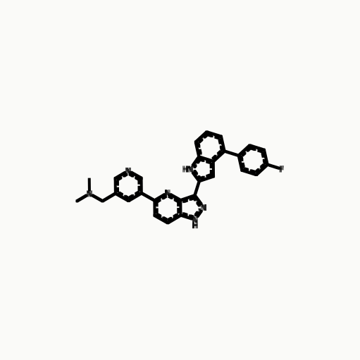 CN(C)Cc1cncc(-c2ccc3[nH]nc(-c4cc5c(-c6ccc(F)cc6)cccc5[nH]4)c3n2)c1